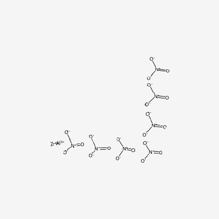 O=[N+]([O-])[O-].O=[N+]([O-])[O-].O=[N+]([O-])[O-].O=[N+]([O-])[O-].O=[N+]([O-])[O-].O=[N+]([O-])[O-].O=[N+]([O-])[O-].[Al+3].[Zr+4]